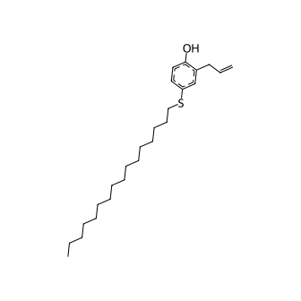 C=CCc1cc(SCCCCCCCCCCCCCCCC)ccc1O